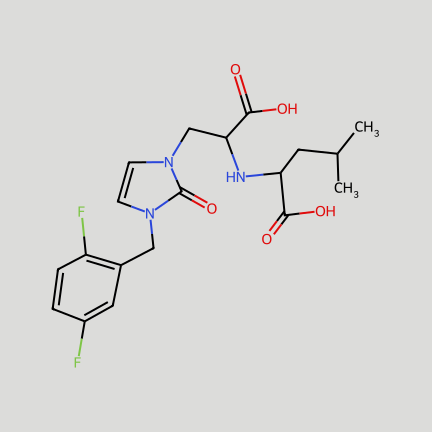 CC(C)CC(NC(Cn1ccn(Cc2cc(F)ccc2F)c1=O)C(=O)O)C(=O)O